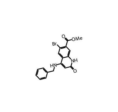 COC(=O)c1cc2[nH]c(=O)cc(NCc3ccccc3)c2cc1Br